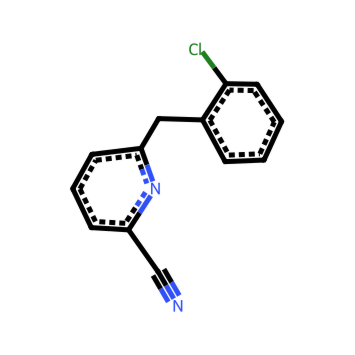 N#Cc1cccc(Cc2ccccc2Cl)n1